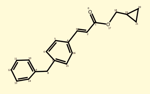 O=C(C=Cc1ccc(Cc2ccccc2)cc1)OCC1CC1